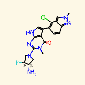 Cn1cc2c(Cl)c(-c3c[nH]c4nc(N5C[C@@H](N)[C@@H](F)C5)n(C)c(=O)c34)ccc2n1